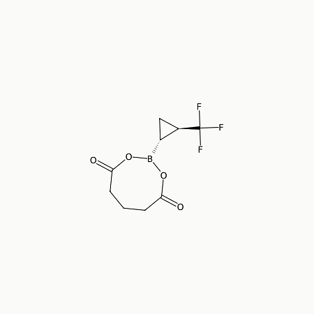 O=C1CCCC(=O)OB([C@@H]2C[C@H]2C(F)(F)F)O1